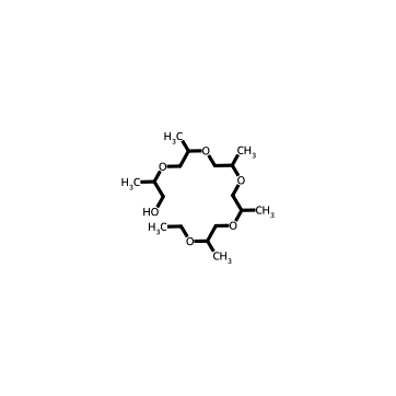 CCOC(C)COC(C)COC(C)COC(C)COC(C)CO